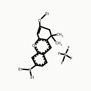 CCOC1=Cc2[o+]c3cc(N(CC)CC)ccc3cc2C(C)(C)C1.F[B-](F)(F)F